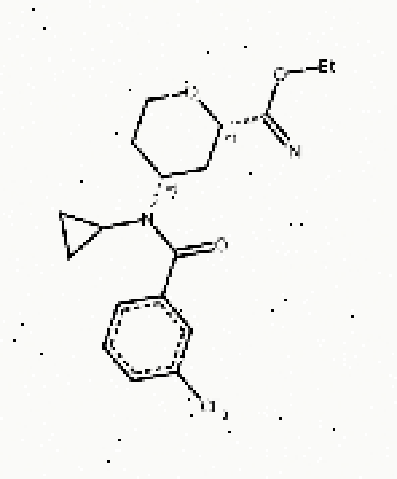 CCOC(=N)[C@@H]1C[C@H](N(C(=O)c2cccc(C(F)(F)F)c2)C2CC2)CCO1